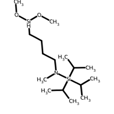 CO[SiH](CCCCN(C)[Si](C(C)C)(C(C)C)C(C)C)OC